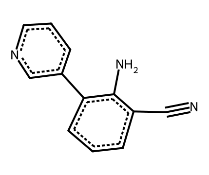 N#Cc1cccc(-c2cccnc2)c1N